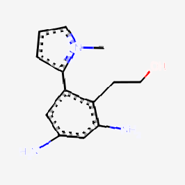 Cn1cccc1-c1cc(N)cc(N)c1CCO